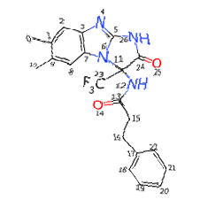 Cc1cc2nc3n(c2cc1C)C(NC(=O)CCc1ccccc1)(C(F)(F)F)C(=O)N3